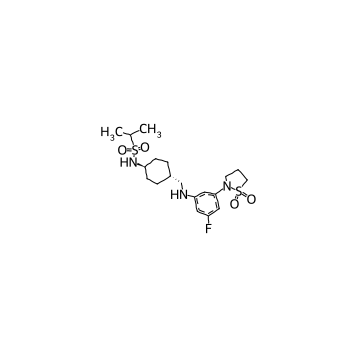 CC(C)S(=O)(=O)N[C@H]1CC[C@H](CNc2cc(F)cc(N3CCCS3(=O)=O)c2)CC1